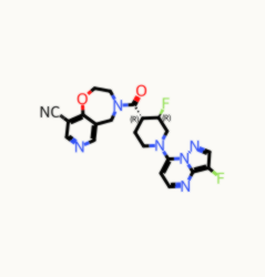 N#Cc1cncc2c1OCCN(C(=O)[C@H]1CCN(c3ccnc4c(F)cnn34)C[C@@H]1F)C2